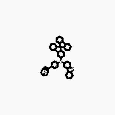 c1ccc2c(c1)-c1ccccc1C21c2ccccc2-c2cc(N(c3ccc(C45CC6CC(CC4C6)C5)cc3)c3ccc4sc5ccccc5c4c3)ccc21